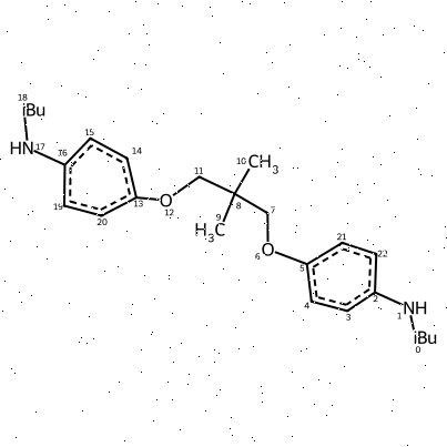 CCC(C)Nc1ccc(OCC(C)(C)COc2ccc(NC(C)CC)cc2)cc1